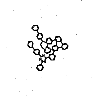 c1ccc(-c2ccc(-c3nc(-c4ccccc4)nc(-c4cccc(-c5ccc6c(c5)c5ccccc5c5cccc(-c7ccc8c(c7)-c7ccccc7CCC8c7ccc(-c8ccccc8)cc7)c56)c4)n3)cc2)cc1